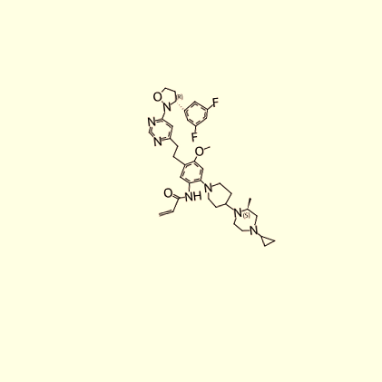 C=CC(=O)Nc1cc(CCc2cc(N3OCC[C@@H]3c3cc(F)cc(F)c3)ncn2)c(OC)cc1N1CCC(N2CCN(C3CC3)C[C@@H]2C)CC1